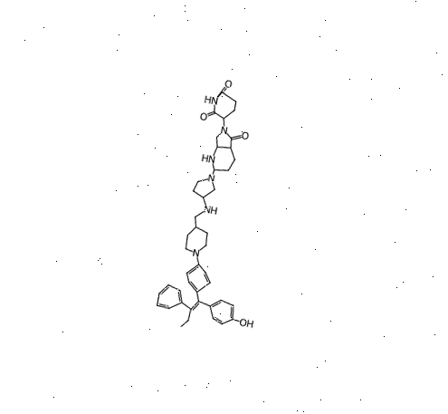 CC/C(=C(\c1ccc(O)cc1)c1ccc(N2CCC(CNC3CCN(C4CCC5C(=O)N(C6CCC(=O)NC6=O)CC5N4)C3)CC2)cc1)c1ccccc1